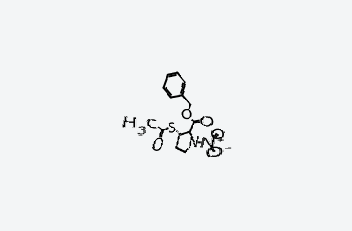 CC(=O)S[C@H]1CCN([N+](=O)[O-])C1C(=O)OCc1ccccc1